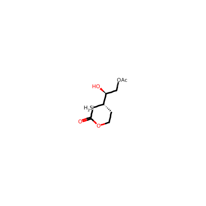 CC(=O)OC[C@H](O)[C@@H]1CCOC(=O)[SiH2]1